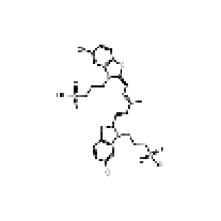 CC(C=CC1Sc2ccc(Cl)cc2N1CCCS(=O)(=O)O)=CC=C1Sc2ccc(Cl)cc2N1CCCS(=O)(=O)O